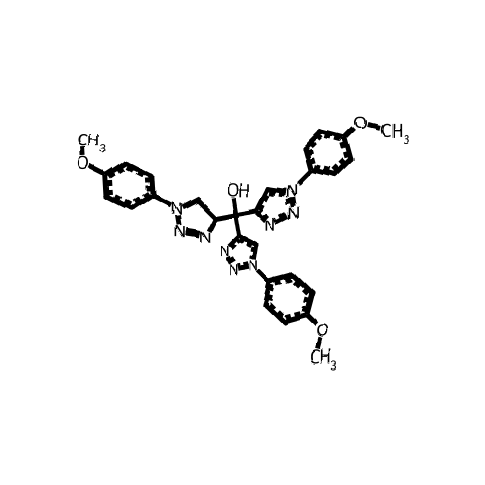 COc1ccc(N2CC(C(O)(c3cn(-c4ccc(OC)cc4)nn3)c3cn(-c4ccc(OC)cc4)nn3)N=N2)cc1